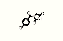 O=C1CN(C(=O)c2ccc(Cl)cc2)C(=O)N1